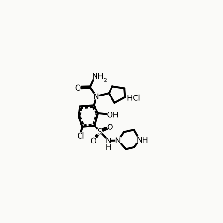 Cl.NC(=O)N(c1ccc(Cl)c(S(=O)(=O)NN2CCNCC2)c1O)C1CCCC1